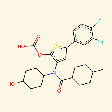 CC1CCC(C(=O)N(c2cc(-c3ccc(F)c(F)c3)sc2OC(=O)O)C2CCC(O)CC2)CC1